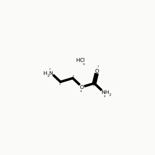 Cl.NCCOC(N)=O